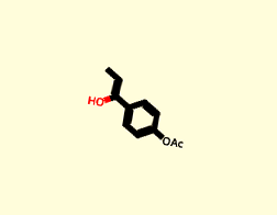 CC=C(O)c1ccc(OC(C)=O)cc1